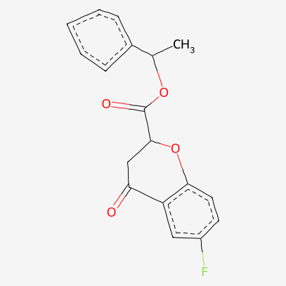 CC(OC(=O)C1CC(=O)c2cc(F)ccc2O1)c1ccccc1